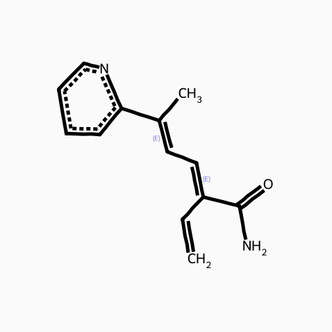 C=C/C(=C\C=C(/C)c1ccccn1)C(N)=O